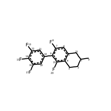 CC1CCc2c(cc(F)c(-c3cc(F)c(F)c(F)c3)c2F)C1